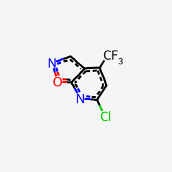 FC(F)(F)c1cc(Cl)nc2oncc12